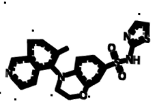 Cc1ccc2cnccc2c1N1CCOc2cc(S(=O)(=O)Nc3nccs3)ccc21